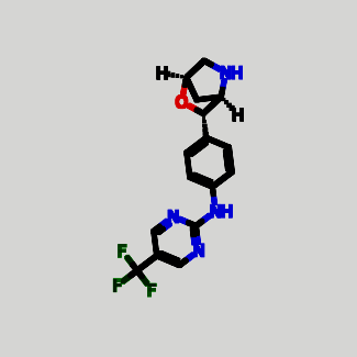 FC(F)(F)c1cnc(Nc2ccc([C@@H]3O[C@H]4CN[C@@H]3C4)cc2)nc1